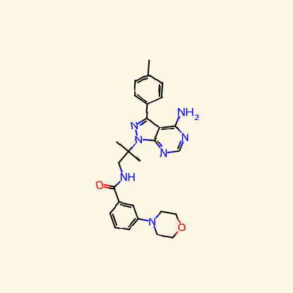 Cc1ccc(-c2nn(C(C)(C)CNC(=O)c3cccc(N4CCOCC4)c3)c3ncnc(N)c23)cc1